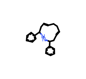 C1=C/CC(c2ccccc2)/N=N/C(c2ccccc2)C/C=C/CC/1